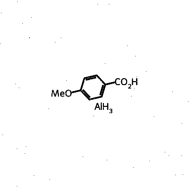 COc1ccc(C(=O)O)cc1.[AlH3]